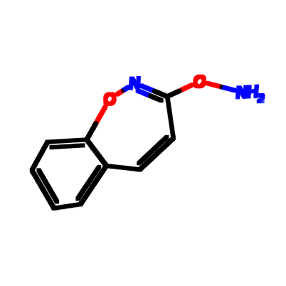 NOC1=NOc2ccccc2C=C1